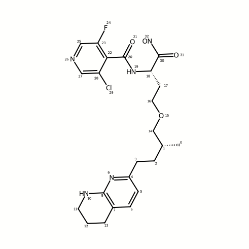 C[C@H](CCc1ccc2c(n1)NCCC2)COCC[C@H](NC(=O)c1c(F)cncc1Cl)C(=O)N=O